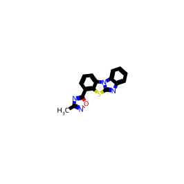 Cc1noc(-c2cccc3c2sc2nc4ccccc4n23)n1